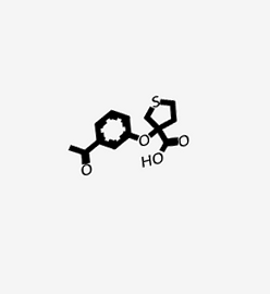 CC(=O)c1cccc(OC2(C(=O)O)CCSC2)c1